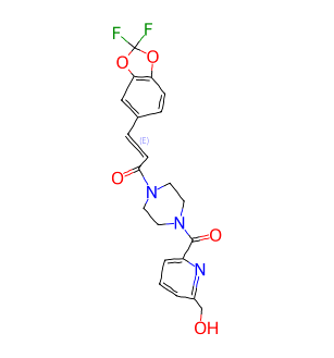 O=C(/C=C/c1ccc2c(c1)OC(F)(F)O2)N1CCN(C(=O)c2cccc(CO)n2)CC1